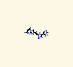 Cc1cc(C)n2cc(C=Cc3nc(-c4cncnc4)cn3C)nc2n1